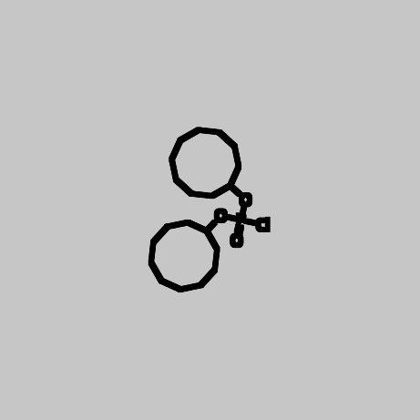 O=P(Cl)(OC1CCCCCCCCC1)OC1CCCCCCCCC1